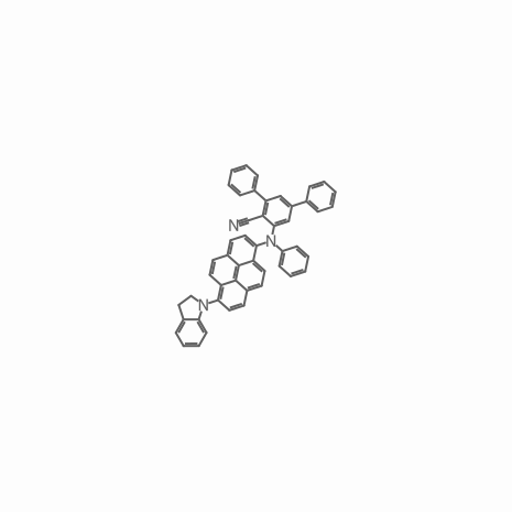 N#Cc1c(-c2ccccc2)cc(-c2ccccc2)cc1N(c1ccccc1)c1ccc2ccc3c(N4CCc5ccccc54)ccc4ccc1c2c43